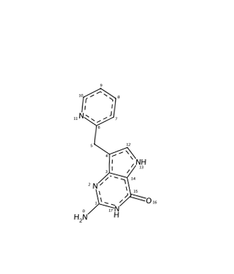 Nc1nc2c(Cc3ccccn3)c[nH]c2c(=O)[nH]1